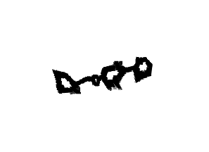 c1ccc(COc2cnc(-c3ccccn3)nc2)nc1